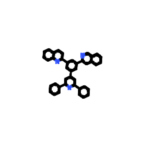 c1ccc(-c2cc(-c3cc(-c4cc5ccccc5cn4)cc(-c4ccc5ccccc5n4)c3)cc(-c3ccccc3)n2)cc1